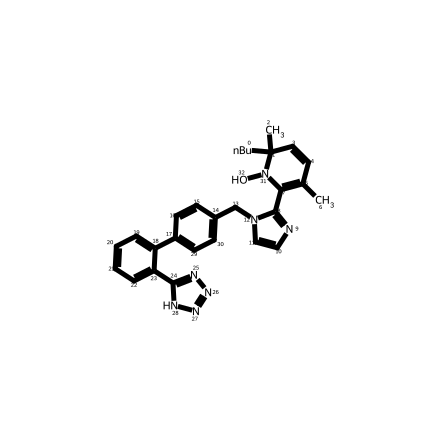 CCCCC1(C)C=CC(C)=C(c2nccn2Cc2ccc(-c3ccccc3-c3nnn[nH]3)cc2)N1O